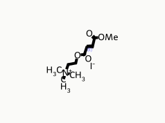 COC(=O)/C=C/C(=O)OCC[N+](C)(C)C.[I-]